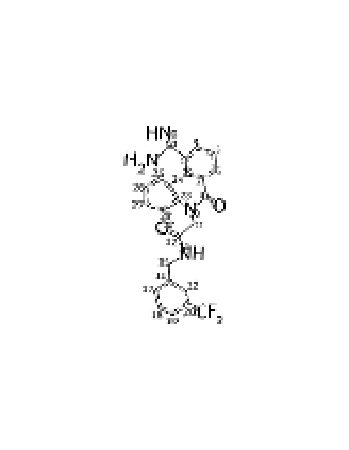 N=C(N)c1cccc(C(=O)N(CC(=O)NCc2cccc(C(F)(F)F)c2)c2ccccc2)c1